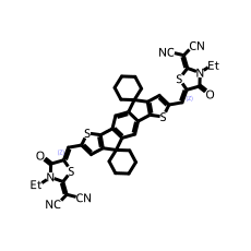 CCn1c(=C(C#N)C#N)s/c(=C\c2cc3c(s2)-c2cc4c(cc2C32CCCCC2)-c2sc(/C=c3\sc(=C(C#N)C#N)n(CC)c3=O)cc2C42CCCCC2)c1=O